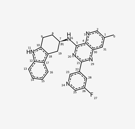 Cc1cnc2c(N[C@@H]3CCc4[nH]c5ccccc5c4C3)nc(-c3cncc(F)c3)nc2c1